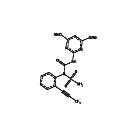 COc1cc(OC)nc(NC(=O)N(c2ccccc2C#CC(F)(F)F)S(N)(=O)=O)n1